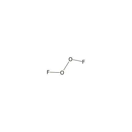 FOOF